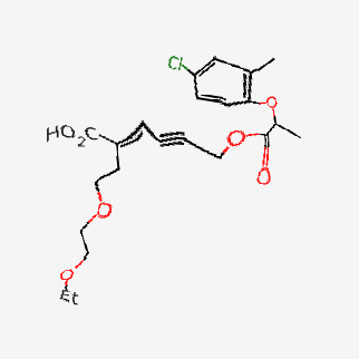 CCOCCOCCC(=CC#CCOC(=O)C(C)Oc1ccc(Cl)cc1C)C(=O)O